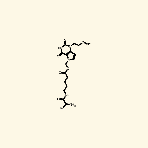 CC(C)OCCn1c(=S)[nH]c(=O)c2c1ccn2COC(=O)CCCCNC(=O)C(N)C(C)C